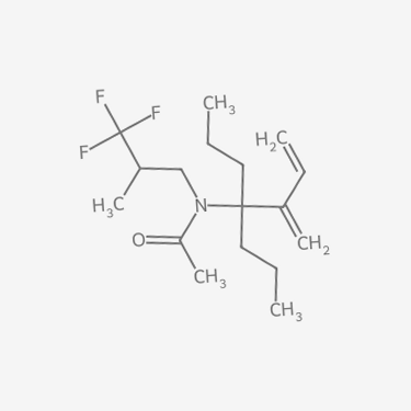 C=CC(=C)C(CCC)(CCC)N(CC(C)C(F)(F)F)C(C)=O